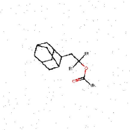 CCC(CC)(CC1C2CC3CC(C2)CC1C3)OC(=O)C(C)(C)C